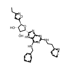 CCc1cc([C@H]2O[C@H](c3nc4nc(NCCc5ccccn5)nc(NCc5ccccc5)c4[nH]3)[C@H](O)[C@@H]2O)on1